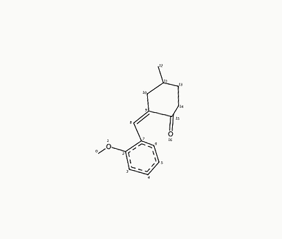 COc1ccccc1/C=C1/CC(C)CCC1=O